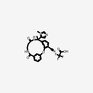 Cn1cncc1C1(C)NC(=O)CCNC(=O)c2cccc(c2)Oc2cc1ccc2C#N.O=C(O)C(F)(F)F